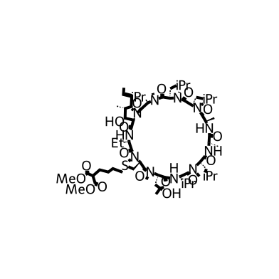 C/C=C/C[C@@H](C)[C@@H](O)[C@H]1C(=O)N[C@@H](CC)C(=O)N(C)[C@H](CSCCCCC(C(=O)OC)C(=O)OC)C(=O)N(C)[C@@H](CC(C)(C)O)C(=O)N[C@@H](C(C)C)C(=O)N(C)[C@@H](CC(C)C)C(=O)N[C@@H](C)C(=O)N[C@H](C)C(=O)N(C)[C@@H](CC(C)C)C(=O)N(C)[C@@H](CC(C)C)C(=O)N(C)[C@@H](C(C)C)C(=O)N1C